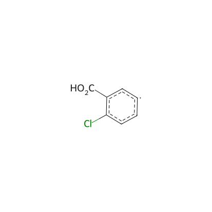 O=C(O)c1c[c]ccc1Cl